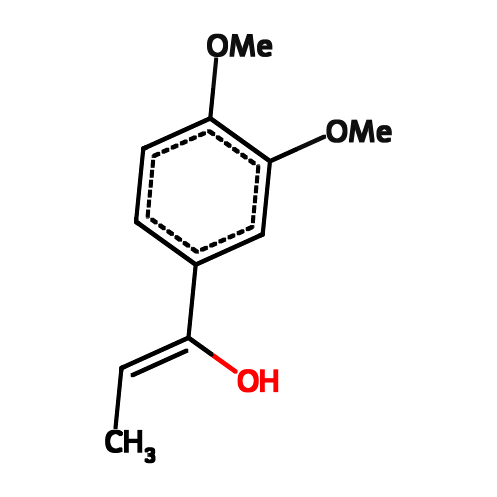 CC=C(O)c1ccc(OC)c(OC)c1